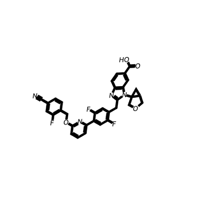 N#Cc1ccc(COc2cccc(-c3cc(F)c(Cc4nc5ccc(C(=O)O)cc5n4C45COCC4C5)cc3F)n2)c(F)c1